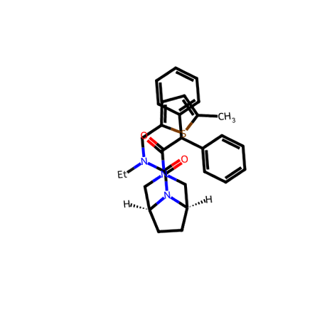 CCN(Cc1ccc(C)s1)C(=O)N1[C@@H]2CC[C@H]1CN(C(=O)C(c1ccccc1)c1ccccc1)C2